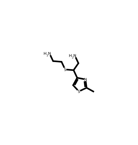 Cc1nc(C(CN)SCCN)cs1